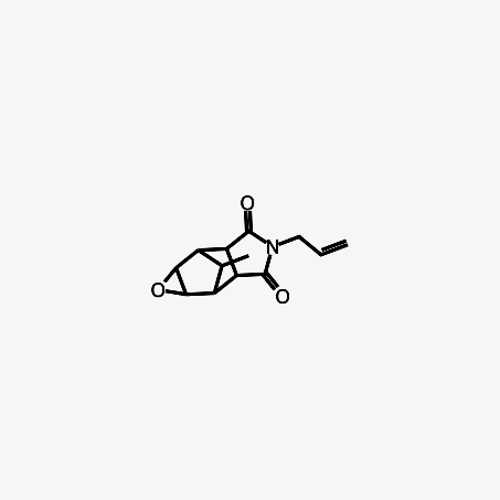 C=CCN1C(=O)C2C(C1=O)C1C(C)C2C2OC21